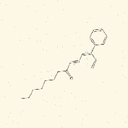 C=C/C(=C\C=C\C(=O)CCCCCCC)c1ccccc1